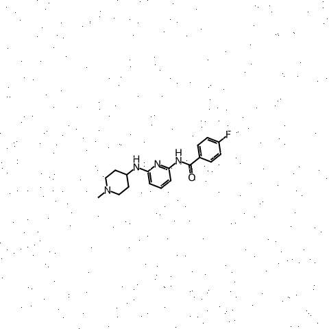 CN1CCC(Nc2cccc(NC(=O)c3ccc(F)cc3)n2)CC1